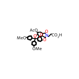 COc1ccc(C(O[C@@H]2C3OC(C4C(=O)N(CCC(=O)O)C(=O)C43)[C@@H]2OC(C)=O)(c2ccccc2)c2ccc(OC)cc2)cc1